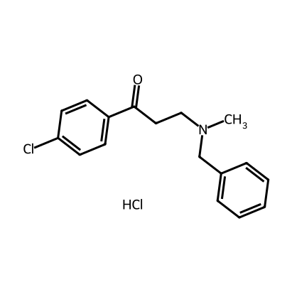 CN(CCC(=O)c1ccc(Cl)cc1)Cc1ccccc1.Cl